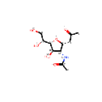 CC(=O)C[C@H]1O[C@@H]([C@H](O)CO)[C@H](O)[C@H]1NC(C)=O